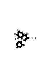 O=C(O)c1cn(-c2ccc(F)cc2F)c2c(Br)c(F)c(F)cc2c1=O